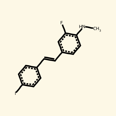 CNc1ccc(/C=C/c2ccc(I)cc2)cc1F